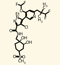 CCn1nc(C(=O)NC[C@@]2(O)CCC(S(C)(=O)=O)C[C@@H]2O)c(Cl)c1-c1cnc(CC(C)(C)C(F)F)cc1OC(F)F